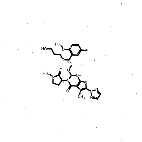 COc1ccc(F)cc1[C@H](COC1Nc2sc(-n3nccn3)c(C)c2C(=O)N1[C@H]1CCN(C)C1=O)OCCCO